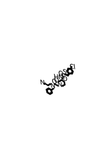 N#CCCN(Cc1ccccc1)C(=O)CN1CCC[C@H](NS(=O)(=O)c2cc3ccc(Cl)cc3s2)C1=O